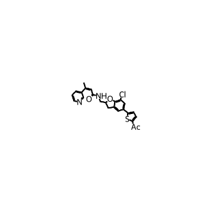 CC(=O)c1ccc(-c2cc(Cl)c3c(c2)CC(CNC(=O)C=C(C)c2cccnc2)O3)s1